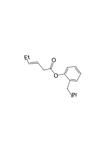 CCC=CCC(=O)Oc1ccccc1CC(C)C